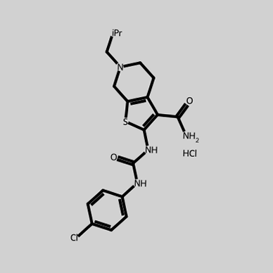 CC(C)CN1CCc2c(sc(NC(=O)Nc3ccc(Cl)cc3)c2C(N)=O)C1.Cl